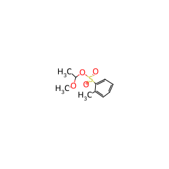 COC(C)OS(=O)(=O)c1ccccc1C